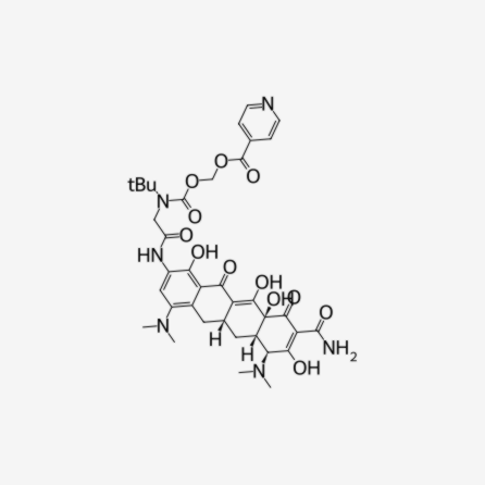 CN(C)c1cc(NC(=O)CN(C(=O)OCOC(=O)c2ccncc2)C(C)(C)C)c(O)c2c1C[C@H]1C[C@H]3[C@H](N(C)C)C(O)=C(C(N)=O)C(=O)[C@@]3(O)C(O)=C1C2=O